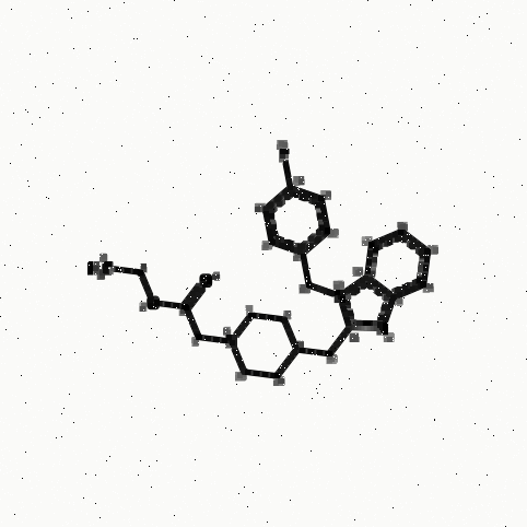 CCOC(=O)CN1CCC(Cc2nc3ccccc3n2Cc2ccc(F)cc2)CC1